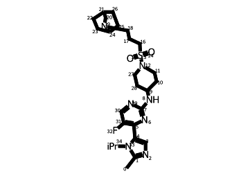 Cc1ncc(-c2nc(NC3CCN(S(=O)(=O)CCCN4CC5CCC4CC5)CC3)ncc2F)n1C(C)C